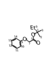 CCC(C)(C)OC(=O)COc1ccccc1